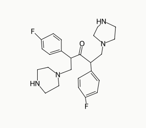 O=C(C(CN1CCNCC1)c1ccc(F)cc1)C(CN1CCNCC1)c1ccc(F)cc1